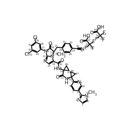 Cn1ccnc1-c1ccc(C2(NC(=O)C3(NC(=O)c4cnc5n4[C@](C)(Cc4ccc(C#N)cc4)C(=O)N5c4cc(Cl)cc(Cl)c4)CC3)CC2)nc1.O=C(O)C(F)(F)F.O=C(O)C(F)(F)F